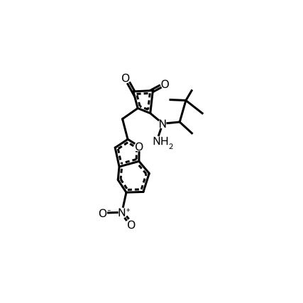 CC(N(N)c1c(Cc2cc3cc([N+](=O)[O-])ccc3o2)c(=O)c1=O)C(C)(C)C